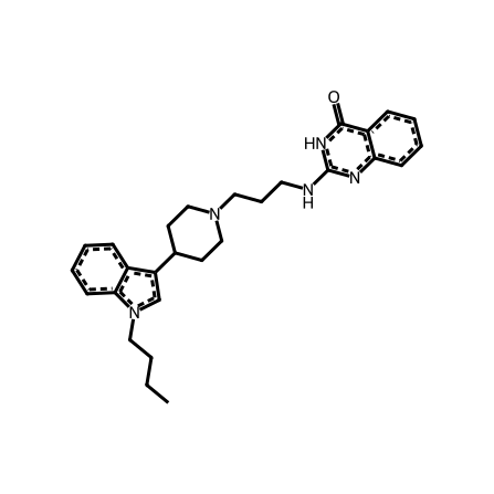 CCCCn1cc(C2CCN(CCCNc3nc4ccccc4c(=O)[nH]3)CC2)c2ccccc21